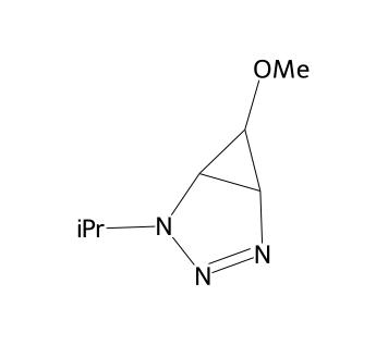 COC1C2N=NN(C(C)C)C21